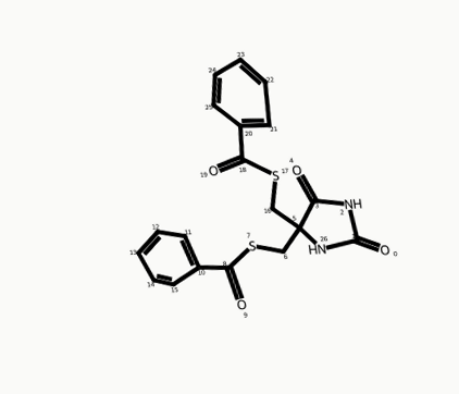 O=C1NC(=O)C(CSC(=O)c2ccccc2)(CSC(=O)c2ccccc2)N1